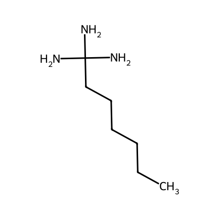 CCCCCCC(N)(N)N